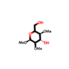 COC1[C@@H](OC)OC(CO)[C@@H](OC)[C@@H]1O